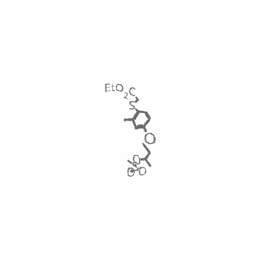 CCOC(=O)CSc1ccc(OCCC(C)OS(C)(=O)=O)cc1C